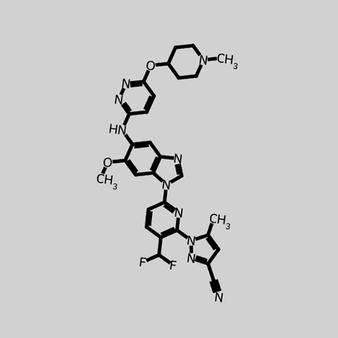 COc1cc2c(cc1Nc1ccc(OC3CCN(C)CC3)nn1)ncn2-c1ccc(C(F)F)c(-n2nc(C#N)cc2C)n1